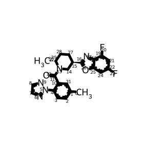 Cc1ccc(-n2nccn2)c(C(=O)N2C[C@H](c3nc4c(F)cc(F)cc4o3)CC[C@H]2C)c1